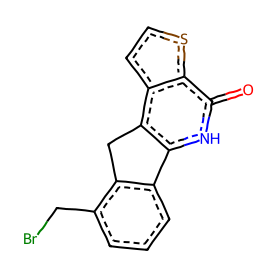 O=c1[nH]c2c(c3ccsc13)Cc1c(CBr)cccc1-2